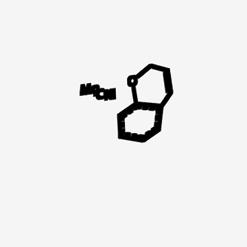 C1=Cc2ccccc2OC1.[Cu].[Mo].[Ni]